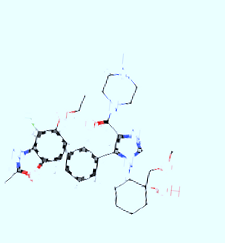 COC[C@]1(O)CCCC[C@H]1n1cnc(C(=O)N2CCNC[C@H]2CCOc2ccc3oc(C)nc3c2F)c1-c1ccccc1